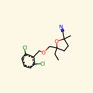 CCC1(COCc2c(Cl)cccc2Cl)CCC(C)(C#N)O1